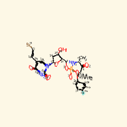 COC(=O)[C@H](C)NP(=O)(OC[C@H]1O[C@@H](n2cc(/C=C/Br)c(=O)[nH]c2=O)CC1O)Oc1ccc(F)cc1